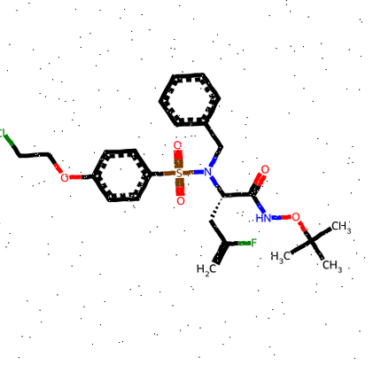 C=C(F)C[C@@H](C(=O)NOC(C)(C)C)N(Cc1ccccc1)S(=O)(=O)c1ccc(OCCCl)cc1